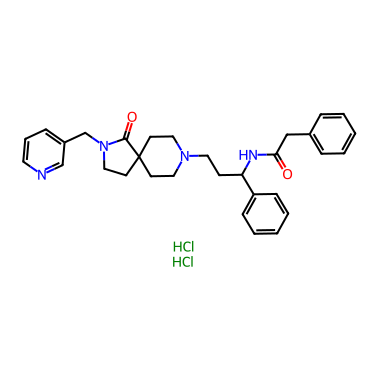 Cl.Cl.O=C(Cc1ccccc1)NC(CCN1CCC2(CC1)CCN(Cc1cccnc1)C2=O)c1ccccc1